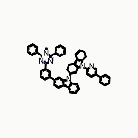 C=N/C(=N\C(=N/Cc1ccccc1)c1cccc(-c2ccc3c4ccccc4n(C4=Cc5c(c6c(n5-c5ccc(-c7ccccc7)cn5)CCC=C6)CC4)c3c2)c1)c1ccccc1